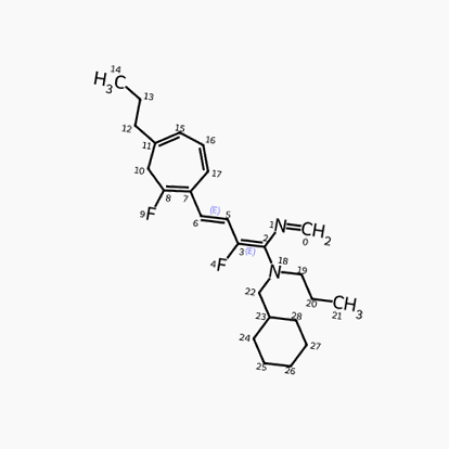 C=N/C(=C(F)\C=C\C1=C(F)CC(CCC)=CC=C1)N(CCC)CC1CCCCC1